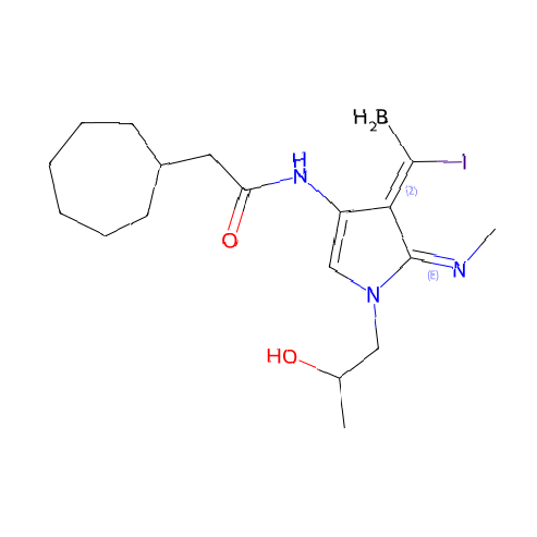 B/C(I)=C1\C(NC(=O)CC2CCCCCC2)=CN(CC(C)O)\C1=N\C